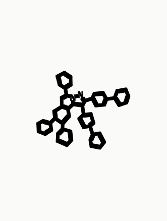 c1ccc(-c2ccc(-c3nn4c(-c5ccccc5)cc5cc(-c6ccccc6)c(-c6ccccc6)cc5c4c3-c3ccc(-c4ccccc4)cc3)cc2)cc1